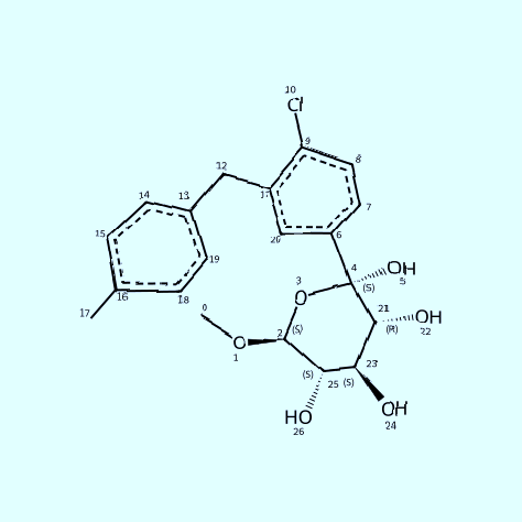 CO[C@H]1O[C@@](O)(c2ccc(Cl)c(Cc3ccc(C)cc3)c2)[C@H](O)[C@@H](O)[C@@H]1O